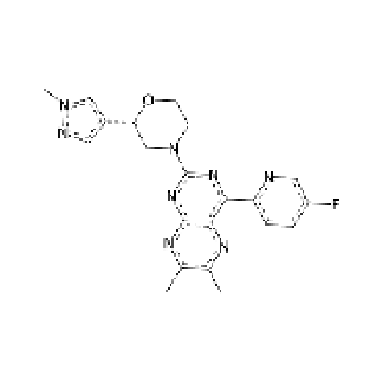 Cc1nc2nc(N3CCO[C@@H](c4cnn(C)c4)C3)nc(-c3ccc(F)cn3)c2nc1C